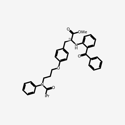 COC(=O)[C@H](Cc1ccc(OCCCN(C(=O)C(C)C)c2ccccc2)cc1)Nc1ccccc1C(=O)c1ccccc1